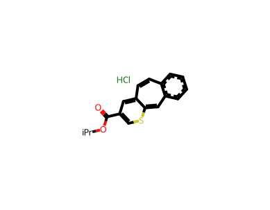 CC(C)OC(=O)C1=CSC2=Cc3ccccc3C=CC2=C1.Cl